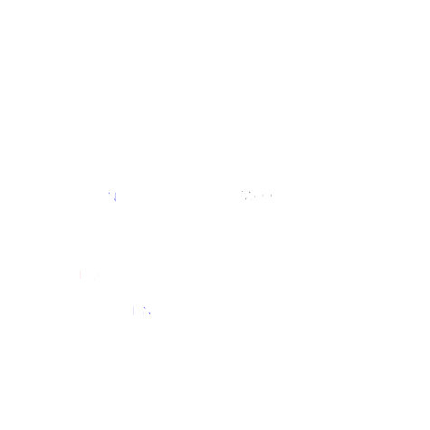 COc1ccccc1-c1ccc2[nH]c(O)c(-c3ccc4ccccc4n3)c2c1